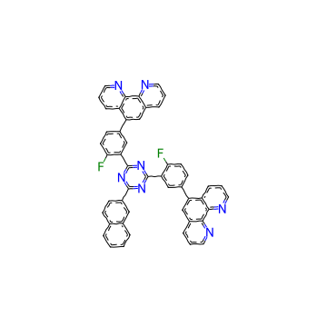 Fc1ccc(-c2cc3cccnc3c3ncccc23)cc1-c1nc(-c2ccc3ccccc3c2)nc(-c2cc(-c3cc4cccnc4c4ncccc34)ccc2F)n1